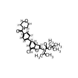 CC(C)N(C(=O)OC(C)(C)C)c1cc2cc(-c3ccc(C(=O)N4CCOCC4)cc3)cc(Cl)c2o1